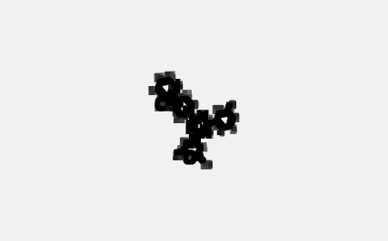 Cc1cccc(-c2nc(N3CCN(c4ncccc4C(F)(F)F)CC3)nc(N3CC(C)OC(C)C3)n2)c1